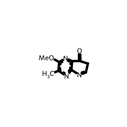 COc1nc2c(nc1C)N=CCC2=O